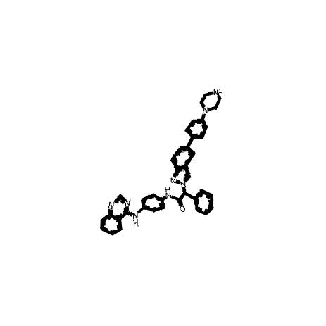 O=C(Nc1ccc(Nc2ncnc3ccccc23)cc1)C(c1ccccc1)n1cc2cc(-c3ccc(N4CCNCC4)cc3)ccc2n1